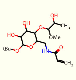 C=CC(=O)NCC1OC(OC(C)(C)C)C(O)C(O)C1OC(OC)C(C)O